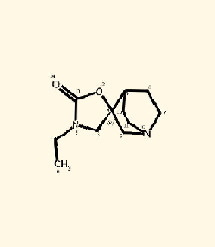 CCN1C[C@@]2(CN3CCC2CC3)OC1=O